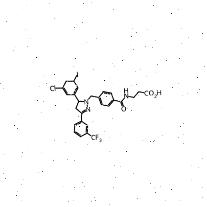 O=C(O)CCNC(=O)c1ccc(CN2N=C(c3cccc(C(F)(F)F)c3)CC2C2=CC(I)CC(Cl)=C2)cc1